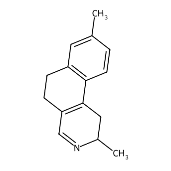 Cc1ccc2c(c1)CCC1=C2CC(C)N=C1